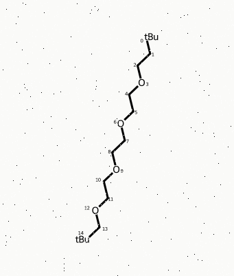 CC(C)(C)CCOCCOCCOCCOCC(C)(C)C